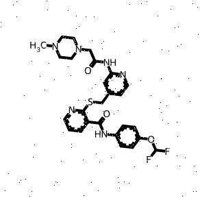 CN1CCN(CC(=O)Nc2cc(CSc3ncccc3C(=O)Nc3ccc(OC(F)F)cc3)ccn2)CC1